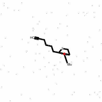 C#CCCCCC12OC(C(C)(C)C)C(CS1)CS2